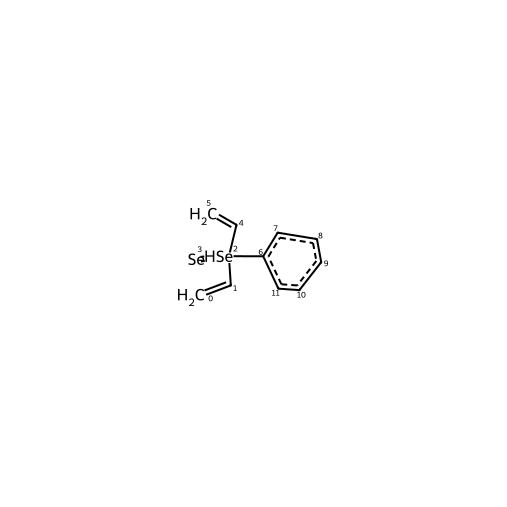 C=C[SeH](=[Se])(C=C)c1ccccc1